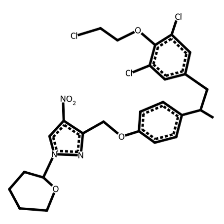 CC(Cc1cc(Cl)c(OCCCl)c(Cl)c1)c1ccc(OCc2nn(C3CCCCO3)cc2[N+](=O)[O-])cc1